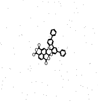 O=C1OC(=O)c2cc(-n3c4ccc(-c5ccccc5)cc4c4cc(-c5ccccc5)ccc43)c3c4c(ccc1c24)C(=O)OC3=O